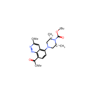 COC(=O)c1ccc(N2C[C@@H](C)N(C(=O)OC(C)(C)C)[C@@H](C)C2)c2cc(OC)nnc12